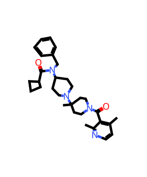 Cc1ccnc(C)c1C(=O)N1CCC(C)(N2CCC(N(Cc3ccccc3)C(=O)C3CCC3)CC2)CC1